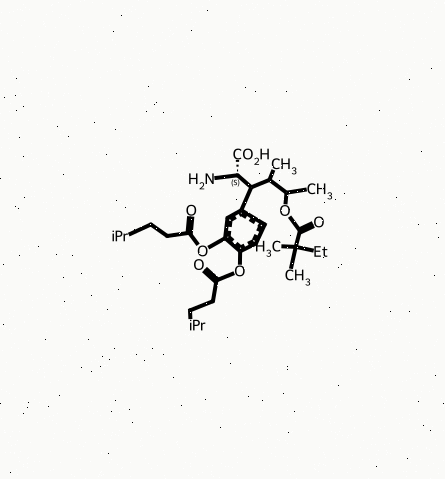 CCC(C)(C)C(=O)OC(C)C(C)C(c1ccc(OC(=O)CCC(C)C)c(OC(=O)CCC(C)C)c1)[C@H](N)C(=O)O